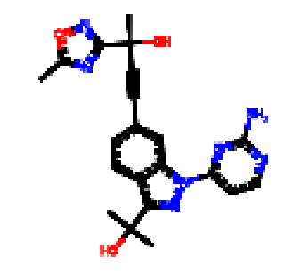 Cc1nc([C@](C)(O)C#Cc2ccc3c(C(C)(C)O)nn(-c4ccnc(N)n4)c3c2)no1